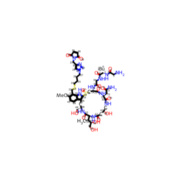 CC[C@H](C)[C@H](NC(=O)CN)C(=O)NCC(=O)N[C@H]1C[S+]([O-])c2[nH]c3c(CSCCCCn4cc(CN5C(=O)C=CC5=O)nn4)c(OC)ccc3c2C[C@@H](CO)NC(=O)[C@H]([C@@H](C)[C@@H](O)CO)NC(=O)C[C@@H](O)CNC(=O)[C@H](CC(N)=O)NC1=O